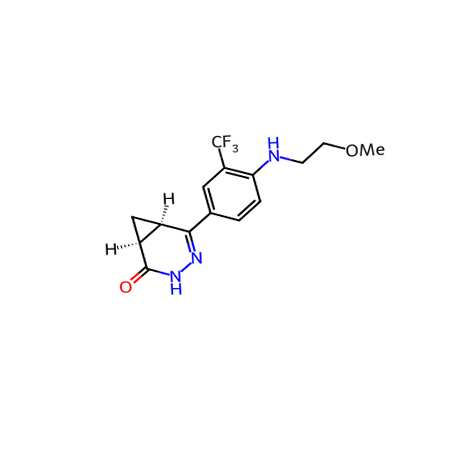 COCCNc1ccc(C2=NNC(=O)[C@H]3C[C@@H]23)cc1C(F)(F)F